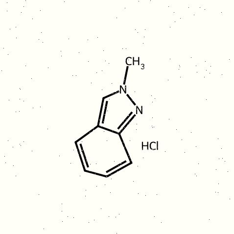 Cl.Cn1cc2ccccc2n1